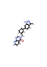 Cc1n[nH]c2cc(-c3cccc(Cn4cnc5ncccc5c4=O)c3)ccc12